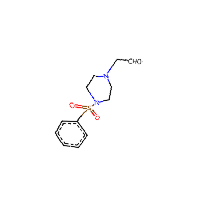 O=[C]CN1CCN(S(=O)(=O)c2ccccc2)CC1